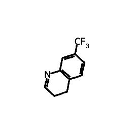 FC(F)(F)c1ccc2c(c1)N=CCC2